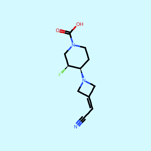 N#CC=C1CN([C@@H]2CCN(C(=O)O)C[C@@H]2F)C1